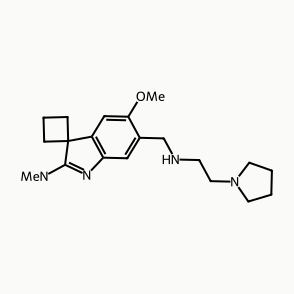 CNC1=Nc2cc(CNCCN3CCCC3)c(OC)cc2C12CCC2